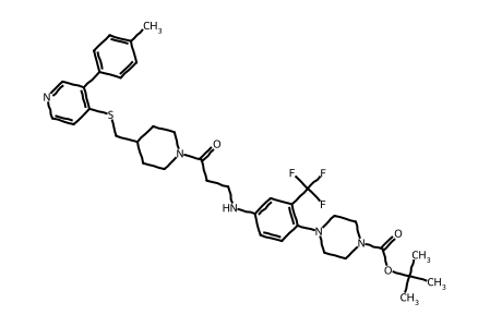 Cc1ccc(-c2cnccc2SCC2CCN(C(=O)CCNc3ccc(N4CCN(C(=O)OC(C)(C)C)CC4)c(C(F)(F)F)c3)CC2)cc1